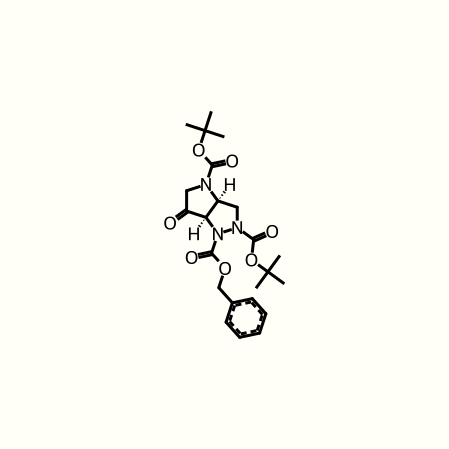 CC(C)(C)OC(=O)N1CC(=O)[C@H]2[C@@H]1CN(C(=O)OC(C)(C)C)N2C(=O)OCc1ccccc1